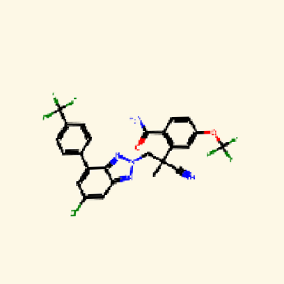 CC(C#N)(Cn1nc2cc(Cl)cc(-c3ccc(C(F)(F)F)cc3)c2n1)c1cc(OC(F)(F)F)ccc1C(N)=O